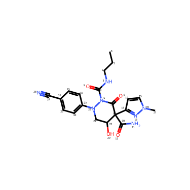 CCCNC(=O)N1C(=O)C(C(N)=O)(c2ccn(C)n2)C(O)CN1c1ccc(C#N)cc1